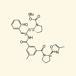 Cc1cc(C(=O)N[C@@H](Cc2ccccc2)[C@H](O)[C@H]2CCCN2C(=O)OC(C)(C)C)cc(C(=O)N2CCC[C@@H]2c2nc(C)co2)c1